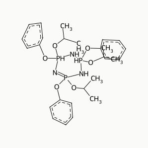 CC(C)OP1(Oc2ccccc2)=N[PH](Oc2ccccc2)(OC(C)C)N[PH](Oc2ccccc2)(OC(C)C)N1